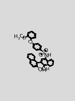 COc1ccccc1Oc1ccc(S(=O)(=O)Nc2cc(-c3c(O)ccc4ccccc34)c(O)c3ccccc23)cc1